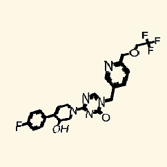 O=c1nc(N2CC=C(c3ccc(F)cc3)C(O)C2)ncn1Cc1ccc(COCC(F)(F)F)nc1